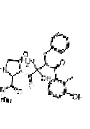 Cc1c(O)cccc1C(=O)C(Cc1ccccc1)C(N)(O)C(=O)[C@H]1[C@H](Cl)CN[C@@H]1C(=O)NC(C)(C)C